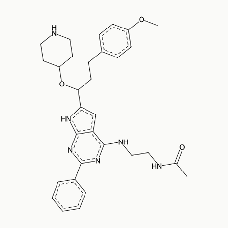 COc1ccc(CCC(OC2CCNCC2)c2cc3c(NCCNC(C)=O)nc(-c4ccccc4)nc3[nH]2)cc1